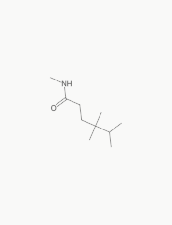 CNC(=O)CCC(C)(C)C(C)C